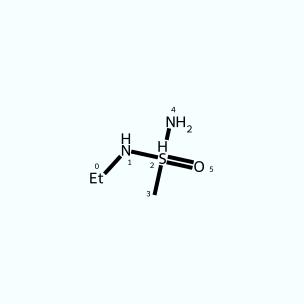 CCN[SH](C)(N)=O